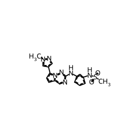 Cn1cc(-c2ccc3cnc(Nc4cccc(NS(C)(=O)=O)c4)nn23)cn1